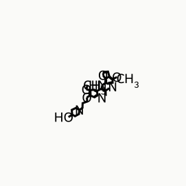 COc1cc2c(Nc3ccc(OC)c4ccoc34)c(C#N)cnc2cc1OCCCN1CCC(O)CC1